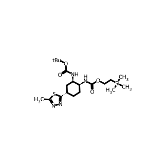 Cc1nnc([C@H]2CC[C@H](NC(=O)OCC[Si](C)(C)C)[C@H](NC(=O)OC(C)(C)C)C2)s1